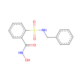 O=C(NO)c1ccccc1S(=O)(=O)NCc1ccccc1